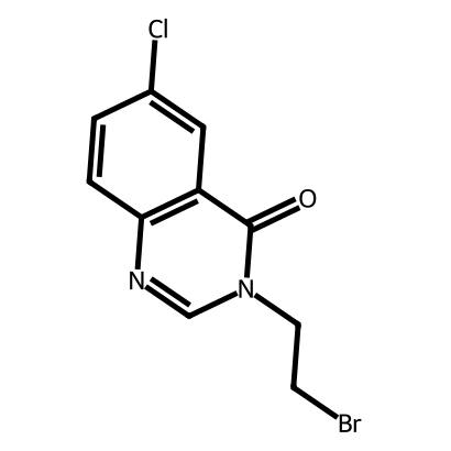 O=c1c2cc(Cl)ccc2ncn1CCBr